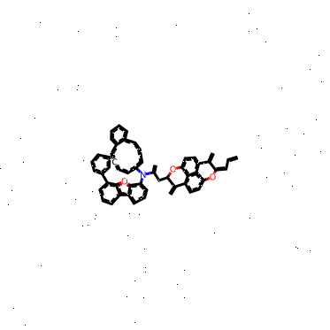 C=C/C=C1/Oc2ccc3c4c(ccc(c24)C1=C)OC(CC(=C)N(c1ccccc2ccccc2ccc1)c1cccc2c1oc1c(-c4ccccc4)cccc12)C3=C